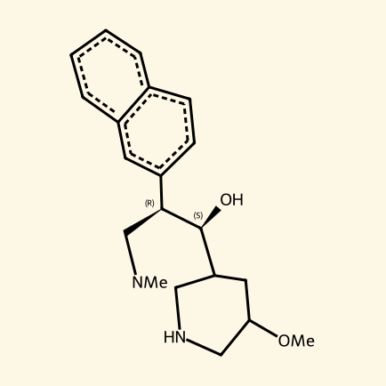 CNC[C@@H](c1ccc2ccccc2c1)[C@@H](O)C1CNCC(OC)C1